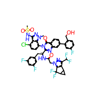 Cn1nc(NS(C)(=O)=O)c2c(Cl)ccc(-n3c([C@H](Cc4cc(F)cc(F)c4)NC(=O)Cn4nc(C(F)F)c5c4C(F)(F)C4CC54)nc4cc(-c5cc(F)ccc5CO)ccc4c3=O)c21